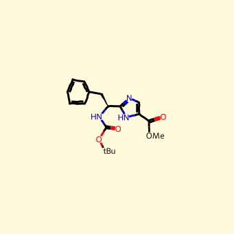 COC(=O)c1cnc([C@H](Cc2ccccc2)NC(=O)OC(C)(C)C)[nH]1